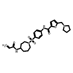 C=CC(=O)NC1CCCN(S(=O)(=O)c2ccc(NC(=O)c3ccc(CN4CCCC4)o3)cc2)CC1